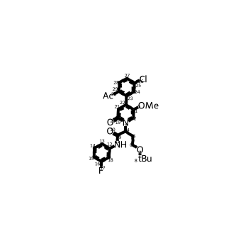 COc1cn(C(CCOC(C)(C)C)C(=O)Nc2cccc(F)c2)c(=O)cc1-c1cc(Cl)ccc1C(C)=O